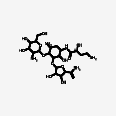 C=C(N)C1OC(OC2C(O)C(NC(=O)[C@@H](O)CCN)CC(N)C2OC2OC(CO)C(O)C(O)C2N)C(O)C1O